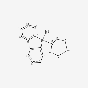 CCC(c1ccccc1)(c1ccccc1)N1CCCCC1